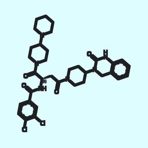 O=C(N[C@@H](CC(=O)N1CCC(N2Cc3ccccc3NC2=O)CC1)C(=O)N1CCC(N2CCCCC2)CC1)c1ccc(Cl)c(Cl)c1